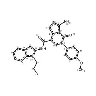 COc1ccc(-n2nc(C(=O)Nc3cc4ccccc4n3CCF)c3csc(N)c3c2=O)cc1